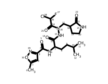 Cc1cc(C(=O)NC(CCC(C)C)C(=O)NN(CC2CCNC2=O)C(=O)C(F)Cl)no1